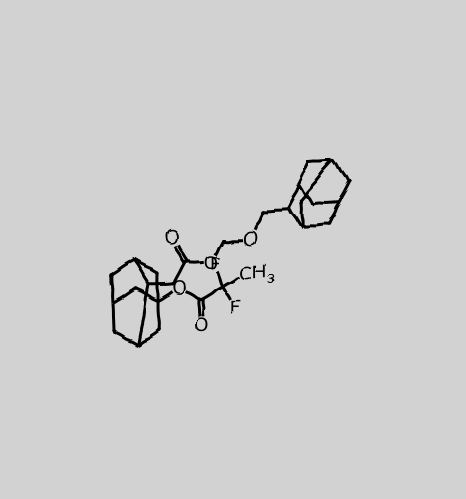 CC(F)(F)C(=O)OC12CC3CC(C1)C(CC(=O)OCOCC1C4CC5CC(C4)CC1C5)C(C3)C2